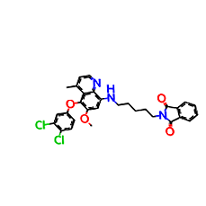 COc1cc(NCCCCCN2C(=O)c3ccccc3C2=O)c2nccc(C)c2c1Oc1ccc(Cl)c(Cl)c1